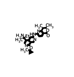 CC[C@](C)(N)c1cnc(OC2(C)CC2)c2cnc(Nc3ccc4c(n3)[C@H](C)[C@H](C)OC4=O)cc12